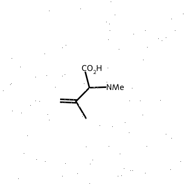 C=C(C)C(NC)C(=O)O